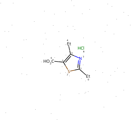 CCc1nc(CC)c(C(=O)O)s1.Cl